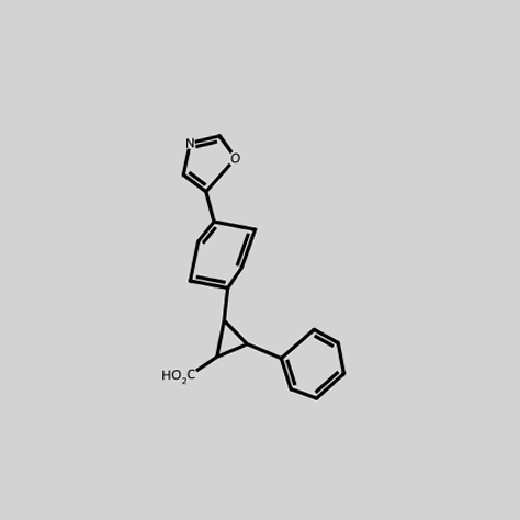 O=C(O)C1C(c2ccccc2)C1c1ccc(-c2cnco2)cc1